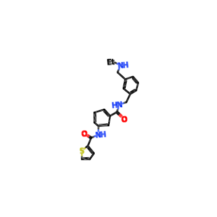 CCNCc1cccc(CNC(=O)c2cccc(NC(=O)c3cccs3)c2)c1